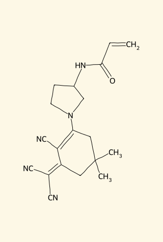 C=CC(=O)NC1CCN(C2=C(C#N)C(=C(C#N)C#N)CC(C)(C)C2)C1